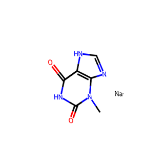 Cn1c(=O)[nH]c(=O)c2[nH]cnc21.[Na]